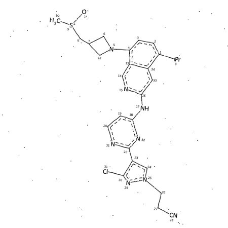 CC(C)c1ccc(N2CC(C[S+](C)[O-])C2)c2cnc(Nc3ccnc(-c4cn(CCC#N)nc4Cl)n3)cc12